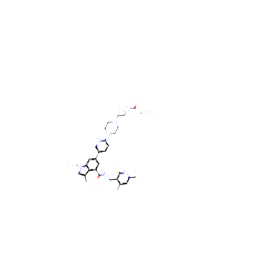 Cc1cc(C)c(CNC(=O)c2cc(-c3ccc(N4CCN(CCNC(=O)OC(C)(C)C)CC4)nc3)cc3c2c(C)cn3C(C)C)c(=O)[nH]1